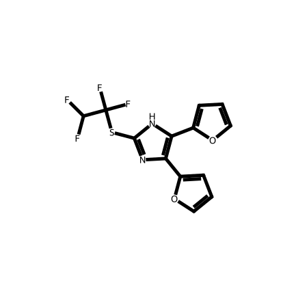 FC(F)C(F)(F)Sc1nc(-c2ccco2)c(-c2ccco2)[nH]1